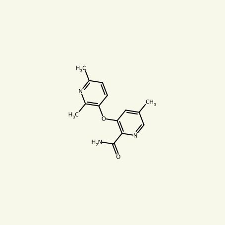 Cc1cnc(C(N)=O)c(Oc2ccc(C)nc2C)c1